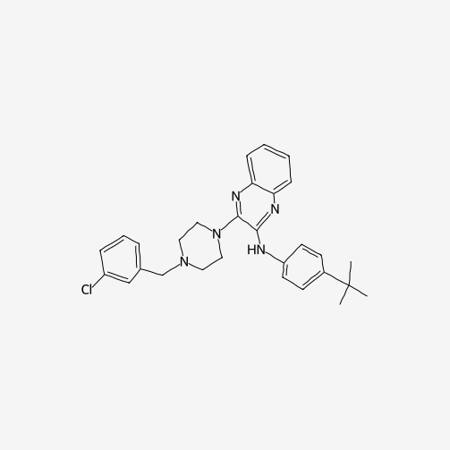 CC(C)(C)c1ccc(Nc2nc3ccccc3nc2N2CCN(Cc3cccc(Cl)c3)CC2)cc1